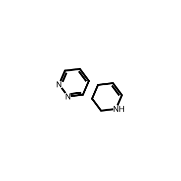 C1=CNCCC1.c1ccnnc1